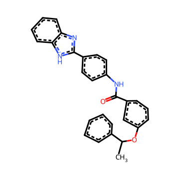 CC(Oc1cccc(C(=O)Nc2ccc(-c3nc4ccccc4[nH]3)cc2)c1)c1ccccc1